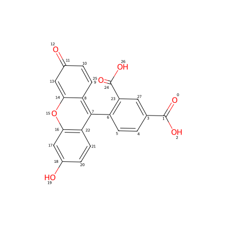 O=C(O)c1ccc(-c2c3ccc(=O)cc-3oc3cc(O)ccc23)c(C(=O)O)c1